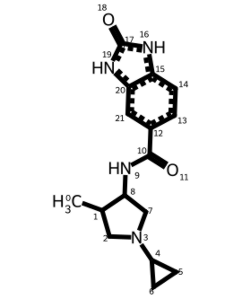 CC1CN(C2CC2)CC1NC(=O)c1ccc2[nH]c(=O)[nH]c2c1